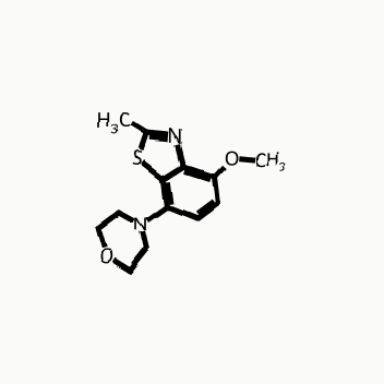 COc1ccc(N2CCOCC2)c2sc(C)nc12